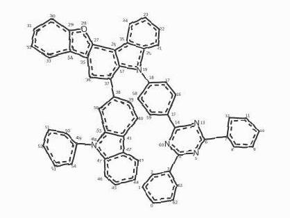 c1ccc(-c2nc(-c3ccccc3)nc(-c3ccc(-n4c5ccccc5c5c6oc7ccccc7c6cc(-c6ccc7c8ccccc8n(-c8ccccc8)c7c6)c54)cc3)n2)cc1